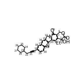 CC[C@@]1(O)C(=O)OCc2c1cc1n(c2=O)Cc2cc3cc(C#CCC4CCCCC4)ccc3nc2-1